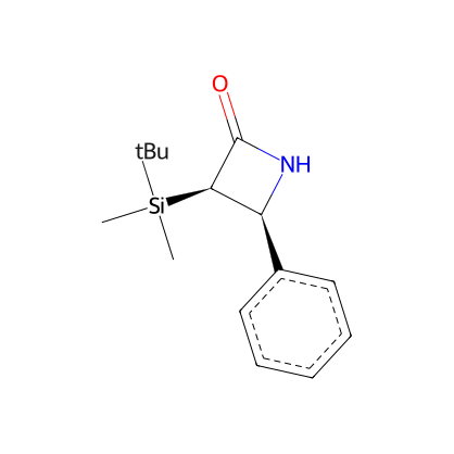 CC(C)(C)[Si](C)(C)[C@H]1C(=O)N[C@H]1c1ccccc1